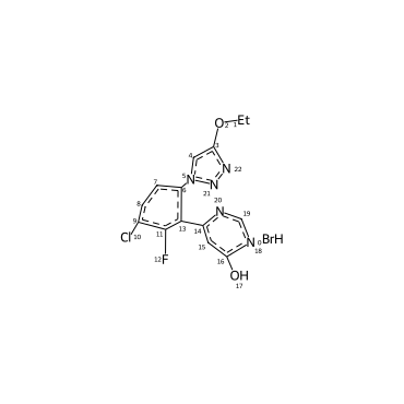 Br.CCOc1cn(-c2ccc(Cl)c(F)c2-c2cc(O)ncn2)nn1